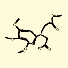 COC(=O)CN(CC(=O)O)c1cc(OC)c(OC)c(OC)c1